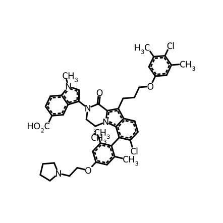 Cc1cc(OCCCc2c3n(c4c(-c5c(C)cc(OCCN6CCCC6)cc5C)c(Cl)ccc24)[C@H](C)CN(c2cn(C)c4ccc(C(=O)O)cc24)C3=O)cc(C)c1Cl